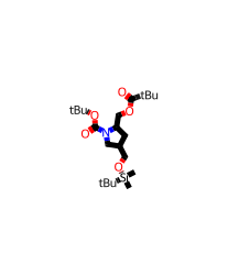 CC(C)(C)OC(=O)N1CC(CO[Si](C)(C)C(C)(C)C)CC1COC(=O)C(C)(C)C